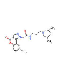 Cc1ccc2oc(=O)c3cnn(CC(=O)NCCCN4CC(C)CC(C)C4)c3c2c1